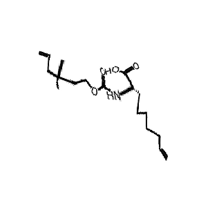 C=CCCCCC[C@H](NC(=O)OCCC(C)(C)CC=C)C(=O)O